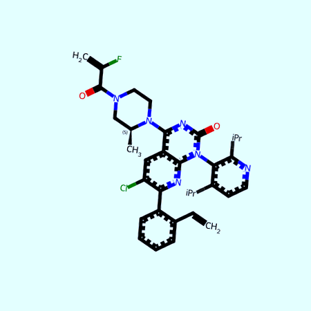 C=Cc1ccccc1-c1nc2c(cc1Cl)c(N1CCN(C(=O)C(=C)F)C[C@@H]1C)nc(=O)n2-c1c(C(C)C)ccnc1C(C)C